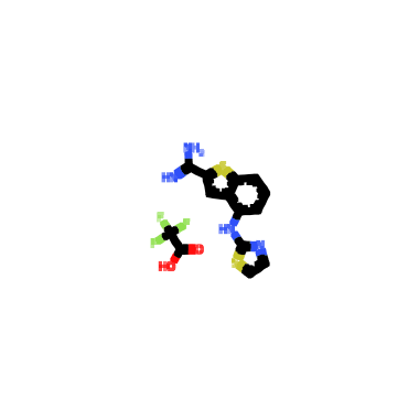 N=C(N)c1cc2c(Nc3nccs3)cccc2s1.O=C(O)C(F)(F)F